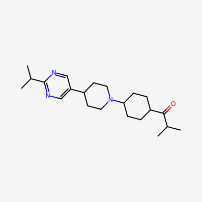 CC(C)C(=O)C1CCC(N2CCC(c3cnc(C(C)C)nc3)CC2)CC1